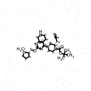 CN1CCC[C@H]1COc1nc2c(c(N3CCN(C(=O)OC(C)(C)C)[C@@H](CC#N)C3)n1)CCNC2